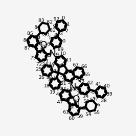 c1ccc(-c2ccc(N(c3ccc4c(c3)C(c3ccccc3)(c3ccccc3)c3cc(N(c5ccc(-c6ccccc6)cc5)c5cccc6c5oc5c(C7CCCCC7)cccc56)c5ccccc5c3-4)c3cccc4c3oc3c(C5CCCCC5)cccc34)cc2)cc1